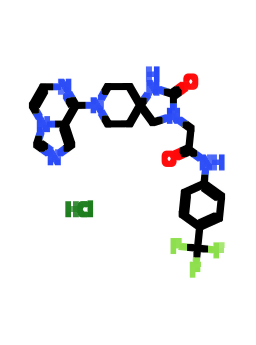 Cl.O=C(CN1CC2(CCN(c3nccn4cncc34)CC2)NC1=O)Nc1ccc(C(F)(F)F)cc1